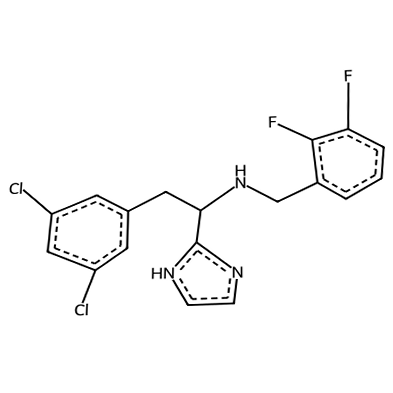 Fc1cccc(CNC(Cc2cc(Cl)cc(Cl)c2)c2ncc[nH]2)c1F